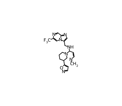 C=N/C=C\C(NCc1cnc2cnc(C(F)(F)F)cn12)N1CCCC(c2ccno2)C1